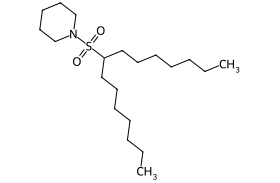 CCCCCCCC(CCCCCCC)S(=O)(=O)N1CCCCC1